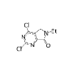 CCN1Cc2c(Cl)nc(Cl)nc2C1=O